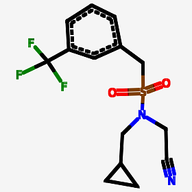 N#CCN(CC1CC1)S(=O)(=O)Cc1cccc(C(F)(F)F)c1